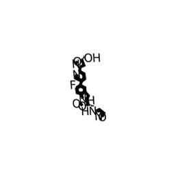 O=C1O[C@@H](CNc2ccon2)[C@@H]2Cc3cc(-c4ccc(C5=NO[C@H](CO)C5)nc4)c(F)cc3N12